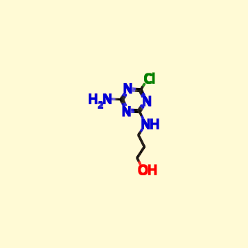 Nc1nc(Cl)nc(NCCCO)n1